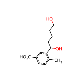 Cc1ccc(C(=O)O)cc1C(O)CCCCO